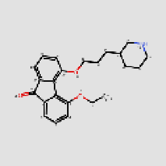 CCOc1cccc2c1-c1c(OCCCC3CCCNC3)cccc1C2=O